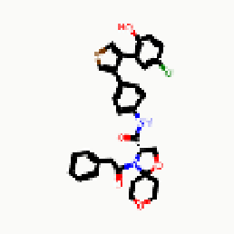 O=C(Nc1ccc(-c2cscc2-c2cc(Cl)ccc2O)cc1)[C@@H]1COC2(CCOCC2)N1C(=O)Cc1ccccc1